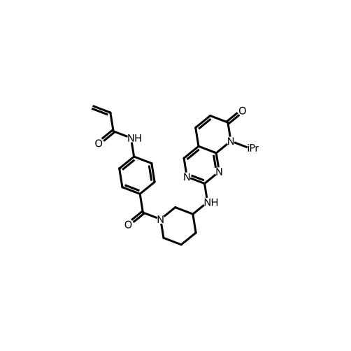 C=CC(=O)Nc1ccc(C(=O)N2CCCC(Nc3ncc4ccc(=O)n(C(C)C)c4n3)C2)cc1